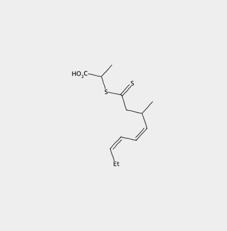 CC/C=C\C=C/C(C)CC(=S)SC(C)C(=O)O